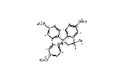 COc1ccc([PH](CC(C)(C)Br)(c2ccc(OC)cc2)c2ccc(OC)cc2)cc1